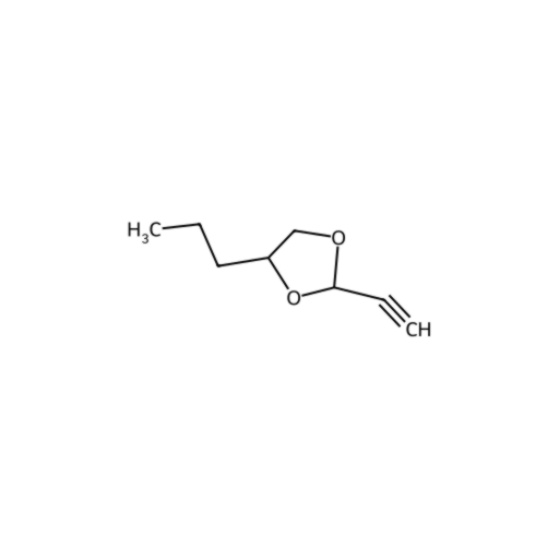 C#CC1OCC(CCC)O1